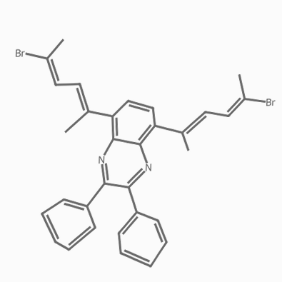 C/C(Br)=C\C=C(/C)c1ccc(/C(C)=C/C=C(\C)Br)c2nc(-c3ccccc3)c(-c3ccccc3)nc12